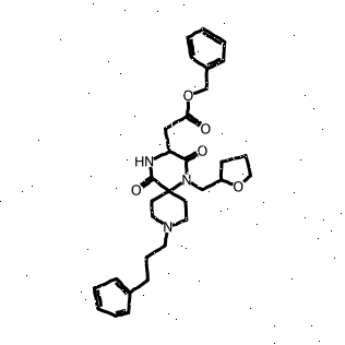 O=C(CC1NC(=O)C2(CCN(CCCc3ccccc3)CC2)N(CC2CCCO2)C1=O)OCc1ccccc1